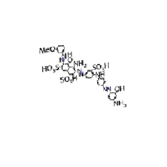 COc1cccc(/N=N/c2c(S(=O)(=O)O)cc3cc(S(=O)(=O)O)c(/N=N/c4ccc(Nc5ccc(/N=N/c6ccc(N)cc6O)cc5)c(S(=O)(=O)O)c4)c(N)c3c2O)c1